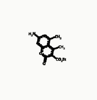 CCOC(=O)c1c(C)c2c(C)cc(N)cc2oc1=O